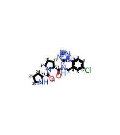 O=C(NCc1cc(Cl)ccc1-n1cnnn1)[C@@H]1CCCN1C(=O)[C@H]1CCCN1